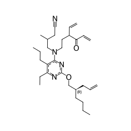 C=CC[C@@H](CCCC)COc1nc(CC)c(CCC)c(N(CCC(C=C)C(=O)C=C)CC(C)CC#N)n1